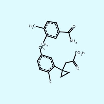 Cc1ccc(C(N)=O)cc1C.O=C(O)C(=O)CC1(c2cc(C(F)(F)F)ccc2F)CC1